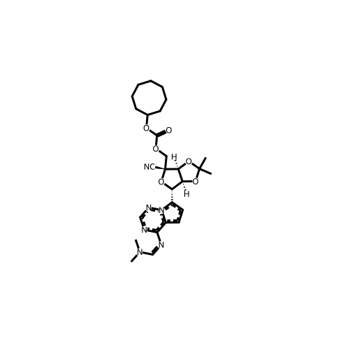 CN(C)/C=N\c1ncnn2c([C@@H]3O[C@](C#N)(COC(=O)OC4CCCCCCC4)[C@H]4OC(C)(C)O[C@@H]34)ccc12